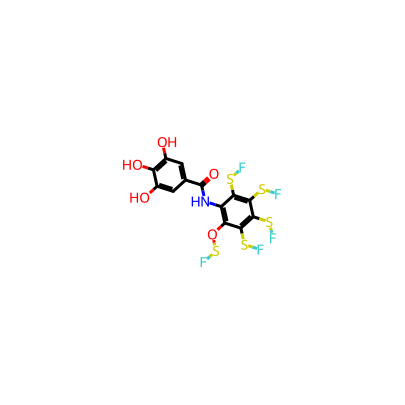 O=C(Nc1c(OSF)c(SF)c(SF)c(SF)c1SF)c1cc(O)c(O)c(O)c1